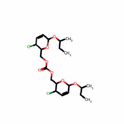 CCC(C)OC1C=CC(Cl)C(COC(=O)OCC2OC(OC(C)CC)C=CC2Cl)O1